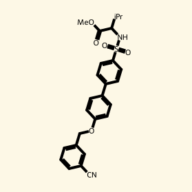 COC(=O)C(NS(=O)(=O)c1ccc(-c2ccc(OCc3cccc(C#N)c3)cc2)cc1)C(C)C